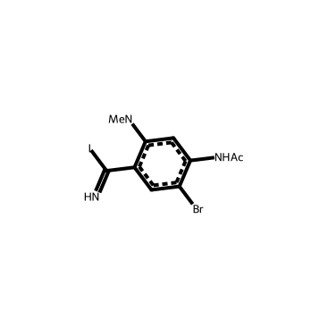 CNc1cc(NC(C)=O)c(Br)cc1C(=N)I